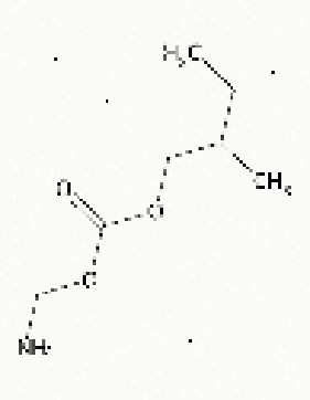 CCC(C)COC(=O)OC[NH]